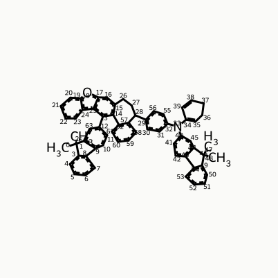 CC1(C)c2ccccc2-c2ccc(-c3c4c(cc5oc6ccccc6c35)CCC(c3ccc(N(C5=CCCC=C5)c5ccc6c(c5)C(C)(C)c5ccccc5-6)cc3)c3ccccc3-4)cc21